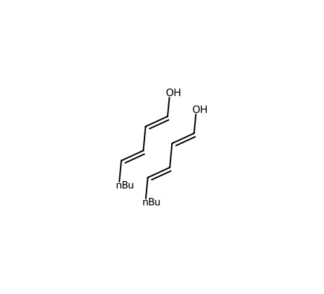 CCCCC=CC=CO.CCCCC=CC=CO